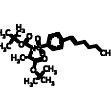 CCCCC=Cc1ccc(S(=O)(=O)N(C(=O)OC(C)(C)C)[C@H](C)C(=O)OC(C)(C)C)cc1